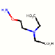 NOCCN(CC(=O)O)CC(=O)O